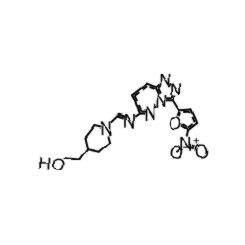 O=[N+]([O-])c1ccc(-c2nnc3ccc(N=CN4CCC(CCO)CC4)nn23)o1